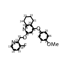 COc1ccc(Oc2cc(OCc3ncccc3F)nc3c2CCCC3)cc1